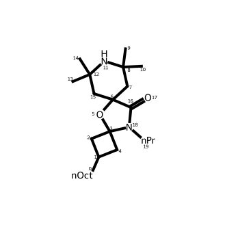 CCCCCCCCC1CC2(C1)OC1(CC(C)(C)NC(C)(C)C1)C(=O)N2CCC